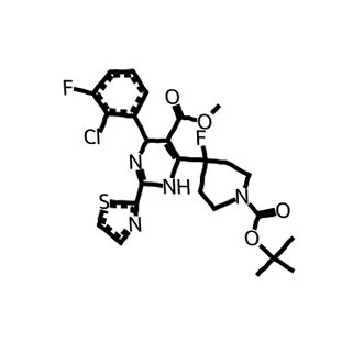 COC(=O)C1=C(C2(F)CCN(C(=O)OC(C)(C)C)CC2)NC(c2nccs2)=NC1c1cccc(F)c1Cl